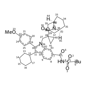 CCC(C)S(=O)(=O)NC(=O)c1ccc2c(C3CCCCC3)c(-c3ccc(OC)cc3)n(CC3(C(=O)N4[C@@H]5CCC[C@H]4COC5)CC3)c2c1